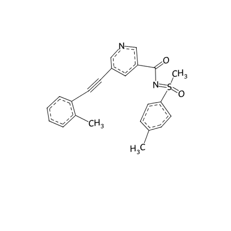 Cc1ccc(S(C)(=O)=NC(=O)c2cncc(C#Cc3ccccc3C)c2)cc1